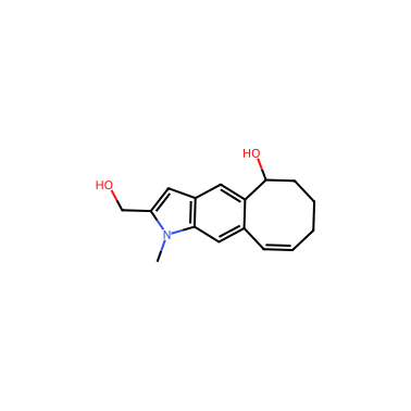 Cn1c(CO)cc2cc3c(cc21)/C=C\CCCC3O